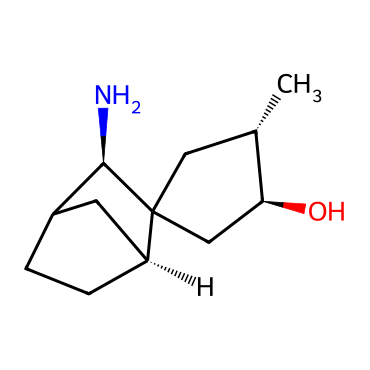 C[C@H]1CC2(C[C@@H]1O)[C@H]1CCC(C1)[C@H]2N